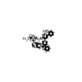 CC(C)(C)OC(=O)N1CCOC2(CCN(C(=O)C3(c4ccccc4)CCN(c4cc(-c5ccccc5O)nnc4N)CC3)CC2)C1